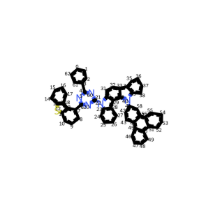 c1ccc(-c2nc(-c3cccc4sc5ccccc5c34)nc(-n3c4ccccc4c4c3ccc3c5ccccc5n(-c5ccc6c7ccccc7c7ccccc7c6c5)c34)n2)cc1